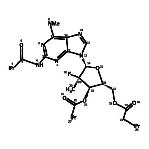 CNc1nc(NC(=O)C(C)C)nc2c1ncn2[C@@H]1O[C@H](COC(=O)CC(C)C)[C@@H](OC(=O)C(C)C)[C@@]1(C)F